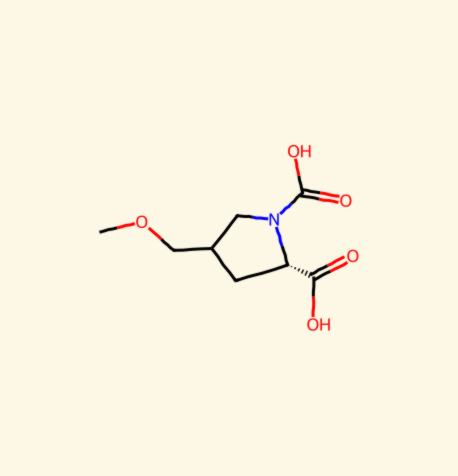 COCC1C[C@@H](C(=O)O)N(C(=O)O)C1